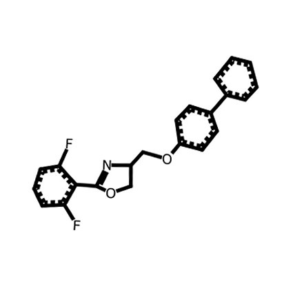 Fc1cccc(F)c1C1=NC(COc2ccc(-c3ccccc3)cc2)CO1